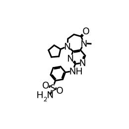 CN1C(=O)CCN(C2CCCC2)c2nc(Nc3cccc(S(N)(=O)=O)c3)ncc21